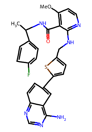 COc1ccnc(NCc2ccc(-c3ccc4ncnc(N)c4c3)s2)c1C(=O)NC(C)c1ccc(F)cc1